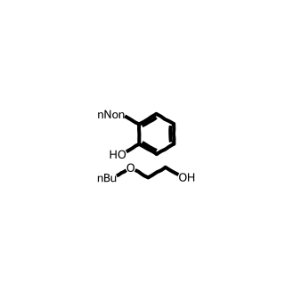 CCCCCCCCCc1ccccc1O.CCCCOCCO